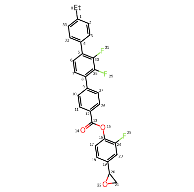 CCc1ccc(-c2ccc(-c3ccc(C(=O)Oc4ccc(C5CO5)cc4F)cc3)c(F)c2F)cc1